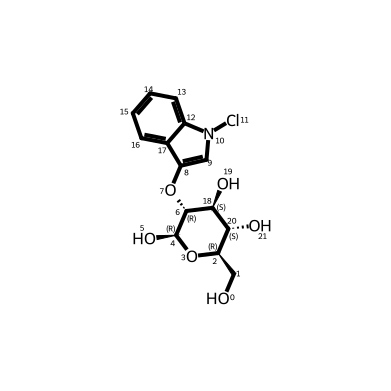 OC[C@H]1O[C@@H](O)[C@H](Oc2cn(Cl)c3ccccc23)[C@@H](O)[C@@H]1O